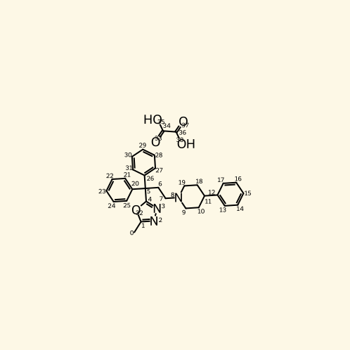 Cc1nnc(C(CCN2CCC(c3ccccc3)CC2)(c2ccccc2)c2ccccc2)o1.O=C(O)C(=O)O